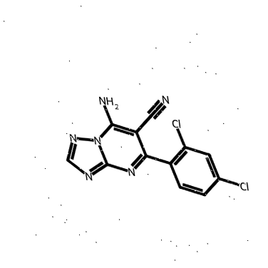 N#Cc1c(-c2ccc(Cl)cc2Cl)nc2ncnn2c1N